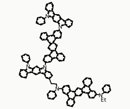 CCN(c1ccccc1)c1ccc2c(c1)c1ccccc1c1cc3c4ccc(N(CCc5ccc6c(c5)c5cc7c8ccccc8n(-c8ccccc8)c7cc5n6-c5ccc6c(c5)c5ccccc5c5cc7c8ccc(-n9c%10ccccc%10c%10cc%11c%12ccccc%12n(-c%12ccccc%12)c%11cc%109)cc8c8ccccc8c7cc65)c5ccccc5)cc4c4ccccc4c3cc21